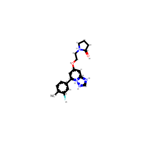 N#Cc1ccc(-c2cc(OCCN3CCCC3=O)cc3ncnn23)cc1F